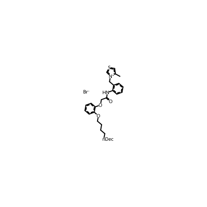 CCCCCCCCCCCCCCOc1ccccc1OCC(=O)Nc1ccccc1C[n+]1cscc1C.[Br-]